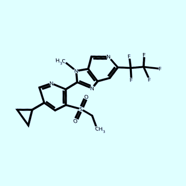 CCS(=O)(=O)c1cc(C2CC2)cnc1-c1nc2cc(C(F)(F)C(F)(F)F)ncc2n1C